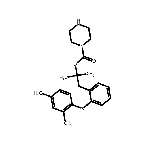 Cc1ccc(Sc2ccccc2CC(C)(C)OC(=O)N2CCNCC2)c(C)c1